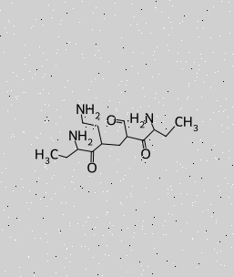 CCC(N)C(=O)C([C]=O)CC(CCN)C(=O)C(N)CC